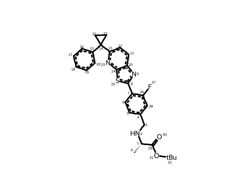 C[C@H](NCc1ccc(-c2nc3ccc(C4(c5ccccc5)CC4)nc3s2)c(F)c1)C(=O)OC(C)(C)C